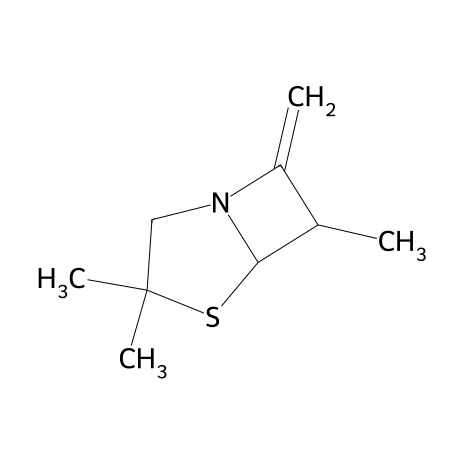 C=C1C(C)C2SC(C)(C)CN12